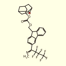 C/N=C(/c1ccc2c(c1)-c1ccccc1C2COC(=O)OC12CC3CC(C1)C(=O)C(C3)C2)C(F)(F)C(F)(F)C(F)(F)F